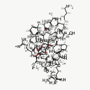 CC(C)C[C@H](NC(=O)[C@H](CCCNC(=N)N)NC(=O)[C@H](Cc1c[nH]cn1)NC(=O)[C@H](CC(C)C)NC(=O)[C@@H](N)CCC(=O)O)C(=O)N[C@@H](CCC(N)=O)C(=O)N[C@H](C(=O)N[C@@H](Cc1ccc(O)cc1)C(=O)N1CCC[C@H]1C(=O)N[C@@H](CCCNC(=N)N)C(=O)N[C@H](C(=O)N[C@@H](CC(N)=O)C(=O)N[C@H](C(=O)NCC(=O)N[C@@H](CO)C(=O)N[C@@H](CCCCN)C(=O)N[C@@H](C)C(=O)N[C@@H](Cc1ccccc1)C(N)=O)C(C)C)[C@@H](C)O)[C@@H](C)O